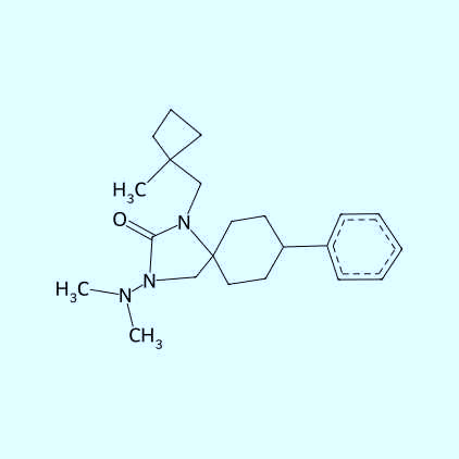 CN(C)N1CC2(CCC(c3ccccc3)CC2)N(CC2(C)CCC2)C1=O